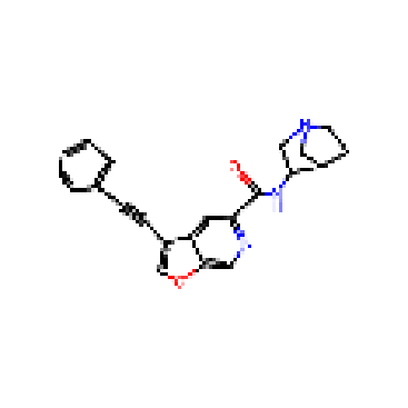 O=C(NC1CN2CCC1C2)c1cc2c(C#Cc3ccccc3)coc2cn1